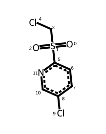 O=S(=O)(CCl)c1ccc(Cl)cn1